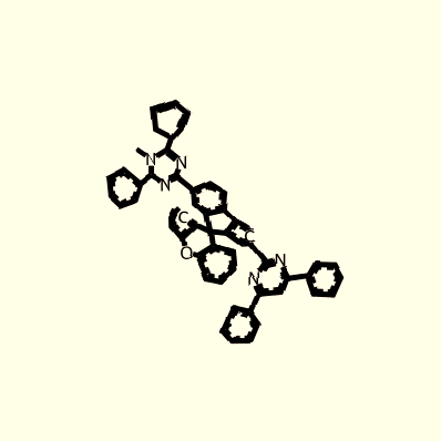 CN1C(C2C=CC=CC2)=NC(c2ccc3c(c2)C2(c4ccccc4Oc4ccccc42)c2cc(-c4nc(-c5ccccc5)cc(-c5ccccc5)n4)ccc2-3)=NC1c1ccccc1